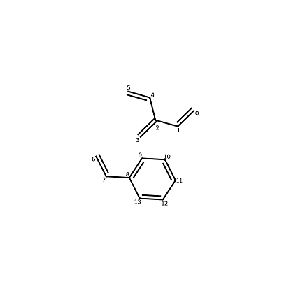 C=CC(=C)C=C.C=Cc1ccccc1